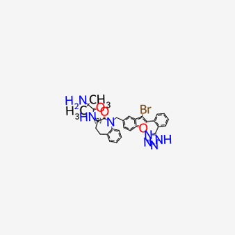 CC(C)(N)C(=O)N[C@@H]1CCc2ccccc2N(Cc2ccc3oc(-c4ccccc4-c4nnn[nH]4)c(Br)c3c2)C1=O